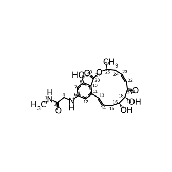 CNC(=O)CNc1cc(O)c2c(c1)/C=C/C[C@H](O)[C@H](O)C(=O)/C=C\C[C@H](C)OC2=O